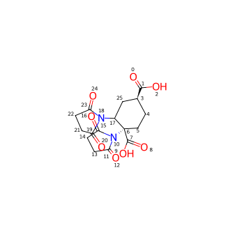 O=C(O)[C@H]1CC[C@](C(=O)O)(N2C(=O)CCC2=O)C(N2C(=O)CCC2=O)C1